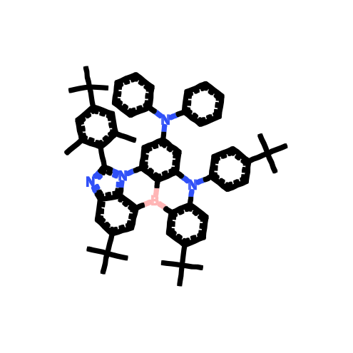 Cc1cc(C(C)(C)C)cc(C)c1-c1nc2cc(C(C)(C)C)cc3c2n1-c1cc(N(c2ccccc2)c2ccccc2)cc2c1B3c1cc(C(C)(C)C)ccc1N2c1ccc(C(C)(C)C)cc1